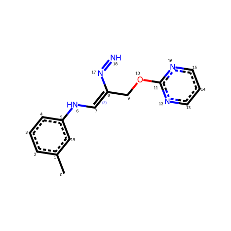 Cc1cccc(N/C=C(/COc2ncccn2)N=N)c1